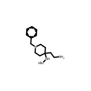 CCCCNC1(CCN)CCN(Cc2ccccc2)CC1